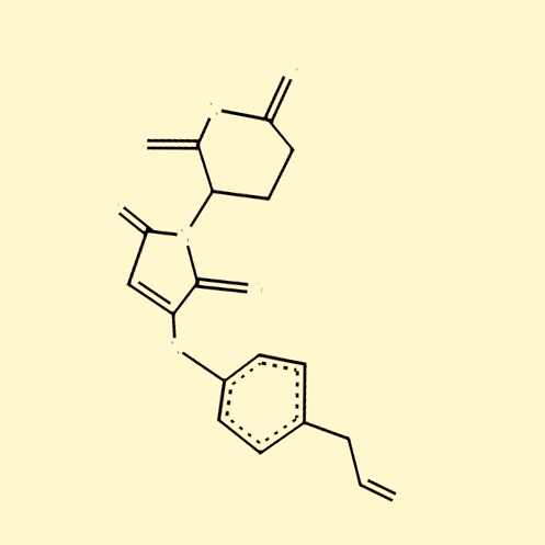 O=CCc1ccc(NC2=CC(=O)N(C3CCC(=O)NC3=O)C2=O)cc1